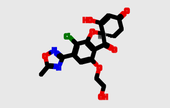 Cc1nc(-c2cc(OCCO)c3c(c2Cl)O[C@]2(CCC(=O)C=C2O)C3=O)no1